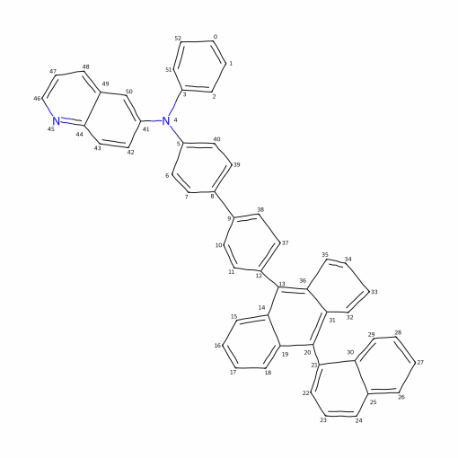 c1ccc(N(c2ccc(-c3ccc(-c4c5ccccc5c(-c5cccc6ccccc56)c5ccccc45)cc3)cc2)c2ccc3ncccc3c2)cc1